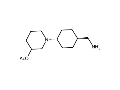 CC(=O)OC1CCCN([C@H]2CC[C@H](CN)CC2)C1